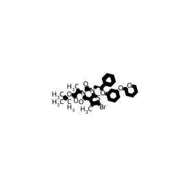 CC1=C(Br)SC2C1C(=O)N(C(C)C(=O)OC(C)(C)C)C(=O)N2C[C@H](OC1CCCC(OC2CCCCO2)C1)c1ccccc1